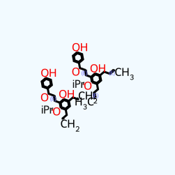 C/C=C/Cc1cc(C/C=C/C)c(OC(C)C)c(/C=C/C(=O)c2ccc(O)cc2)c1O.C=CCc1cc(CC=C)c(OC(C)C)c(/C=C/C(=O)c2ccc(O)cc2)c1O